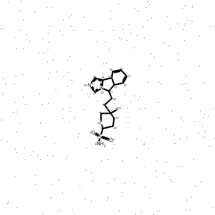 NS(=O)(=O)C1CCC(F)(CCC2C3C=CC=CC3c3cncn32)CC1